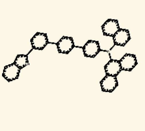 c1cc(-c2ccc(-c3ccc(N(c4cccc5ccccc45)c4cc5ccccc5c5ccccc45)cc3)cc2)cc(-c2cc3ccccc3o2)c1